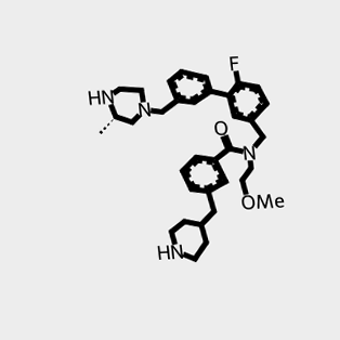 COCCN(Cc1ccc(F)c(-c2cccc(CN3CCN[C@@H](C)C3)c2)c1)C(=O)c1cccc(CC2CCNCC2)c1